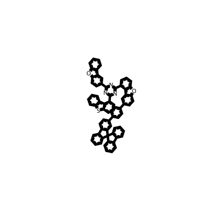 c1ccc2c(c1)-c1ccccc1C21c2ccccc2-c2ccc(-c3ccc(-c4ccc5oc6cccc(-c7nc(-c8ccc9oc%10ccccc%10c9c8)nc(-c8cccc9sc%10ccccc%10c89)n7)c6c5c4)cc3)cc21